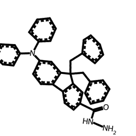 NNC(=O)c1ccc2c(c1)C(Cc1ccccc1)(Cc1ccccc1)c1cc(N(c3ccccc3)c3ccccc3)ccc1-2